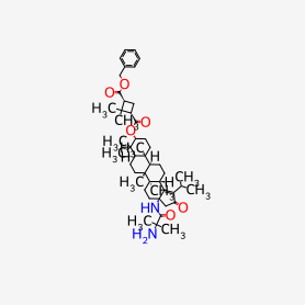 CC(C)C1=C2[C@H]3CC[C@@H]4[C@@]5(C)CC[C@H](OC(=O)[C@@H]6C[C@H](C(=O)OCc7ccccc7)C6(C)C)C(C)(C)[C@@H]5CC[C@@]4(C)[C@]3(C)CC[C@@]2(NC(=O)C(C)(C)N)CC1=O